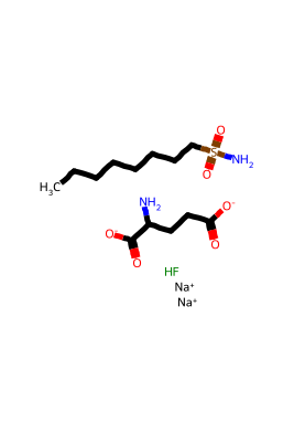 CCCCCCCCS(N)(=O)=O.F.NC(CCC(=O)[O-])C(=O)[O-].[Na+].[Na+]